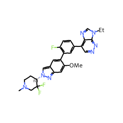 CCn1cnc2c(-c3ccc(F)c(-c4cc5cn([C@H]6CCN(C)CC6(F)F)nc5cc4OC)c3)cnnc21